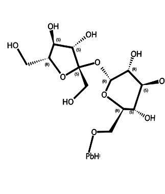 OC[C@H]1O[C@@](CO)(O[C@H]2O[C@H](C[O][PbH])[C@@H](O)[C@H](O)[C@H]2O)[C@@H](O)[C@@H]1O